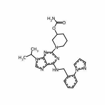 CC(C)n1cnc2c(NCc3ccccc3-n3cccn3)nc(N3CCCC(OC(N)=O)C3)nc21